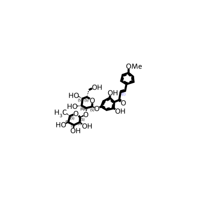 COc1ccc(/C=C/C(=O)c2c(O)cc(O[C@@H]3O[C@@H](CO)[C@@H](O)[C@@H](O)[C@H]3O[C@@H]3O[C@@H](C)[C@H](O)[C@H](O)[C@@H]3O)cc2O)cc1